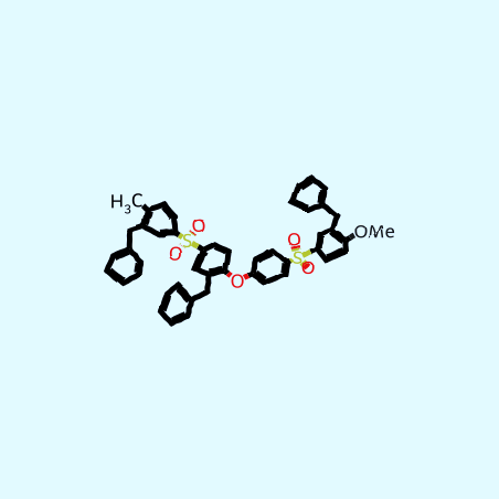 COc1ccc(S(=O)(=O)c2ccc(Oc3ccc(S(=O)(=O)c4ccc(C)c(Cc5ccccc5)c4)cc3Cc3ccccc3)cc2)cc1Cc1ccccc1